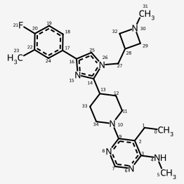 CCc1c(NC)ncnc1N1CCC(c2nc(-c3ccc(F)c(C)c3)cn2CC2CN(C)C2)CC1